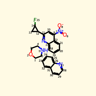 C1COCCN1.O=[N+]([O-])c1cc(C2CC2F)nc2ccccc12.c1ccc2ncccc2c1